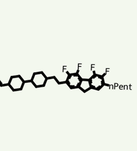 C=CC1CCC(C2CCC(CCc3cc4c(c(F)c3F)-c3c(cc(CCCCC)c(F)c3F)C4)CC2)CC1